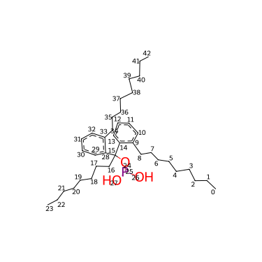 CCCCCCCCCc1ccccc1C(CCCCCCCC)(OP(O)O)c1ccccc1CCCCCCCCC